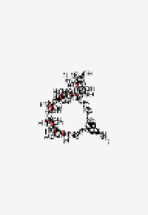 CO[C@H]1C(O)C(O)[C@@H](O[C@H]2C(O)C(O)[C@@H](O[C@H]3C(O)C(O)[C@@H]4O[C@@H]3CNCc3csc(n3)CNc3cc(c5ccc6cc(NN)cc7ccc3c5c67)NCc3nc(cs3)CNC[C@H]3OCC(O)C(O)[C@@H]3O[C@H]3O[C@H](CO)[C@@H](O[C@H]5O[C@H](CO)[C@@H](O[C@H]6O[C@H](CO)[C@@H](O4)C(O)C6O)C(O)C5O)C(O)C3O)O[C@@H]2CO)O[C@@H]1CO